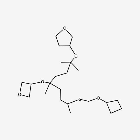 CC(CCC(C)(CCC(C)(C)OC1CCOC1)OC1COC1)SCOC1CCC1